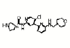 O=C(Nc1cc(-c2cccc(NCC3CCOCC3)n2)c(Cl)cn1)[C@@H]1CCNC1